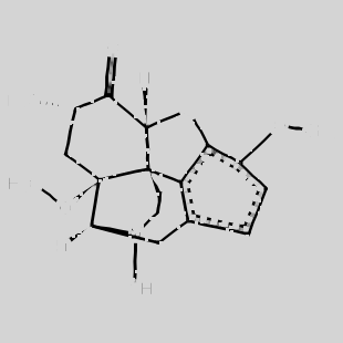 COc1ccc2c3c1O[C@H]1C(=O)[C@@H](C)C[C@@]4(OC)[C@@H](C2)N(C)CC[C@]314